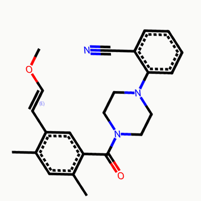 CO/C=C/c1cc(C(=O)N2CCN(c3ccccc3C#N)CC2)c(C)cc1C